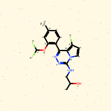 CC(O)CNc1nnc(-c2ccc(C(F)(F)F)cc2OC(F)F)c2c(F)ccn12